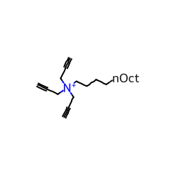 C#CC[N+](CC#C)(CC#C)CCCCCCCCCCCC